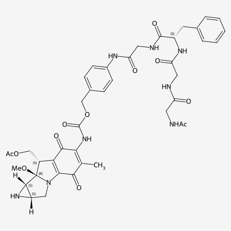 CO[C@@]12[C@H](COC(C)=O)C3=C(C(=O)C(C)=C(NC(=O)OCc4ccc(NC(=O)CNC(=O)[C@H](Cc5ccccc5)NC(=O)CNC(=O)CNC(C)=O)cc4)C3=O)N1C[C@@H]1N[C@@H]12